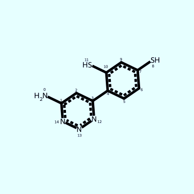 Nc1cc(-c2ccc(S)cc2S)nnn1